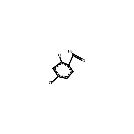 O=C(S)c1ccc(Cl)cc1Cl